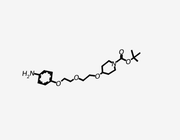 CC(C)(C)OC(=O)N1CCC(OCCOCCOc2ccc(N)cc2)CC1